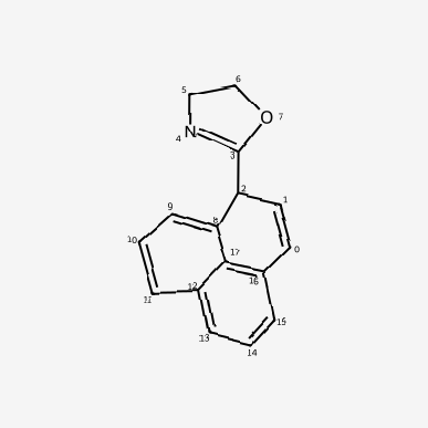 C1=CC(C2=NCCO2)c2cccc3cccc1c23